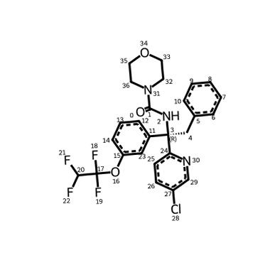 O=C(N[C@](Cc1ccccc1)(c1cccc(OC(F)(F)C(F)F)c1)c1ccc(Cl)cn1)N1CCOCC1